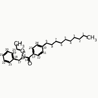 CCCCCCCCCCc1ccc(C(=O)N(Cc2ccccc2)OCC)cc1